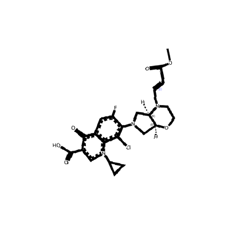 COC(=O)/C=C/N1CCO[C@H]2CN(c3c(F)cc4c(=O)c(C(=O)O)cn(C5CC5)c4c3Cl)C[C@H]21